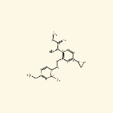 CCc1ccc(OCc2cc(C3CC3)ccc2N(O)C(=O)OC)c(C)c1